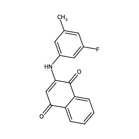 Cc1cc(F)cc(NC2=CC(=O)c3ccccc3C2=O)c1